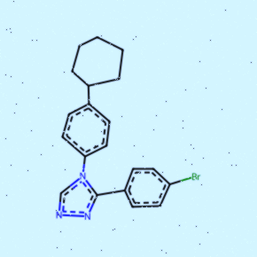 Brc1ccc(-c2nncn2-c2ccc(C3CCCCC3)cc2)cc1